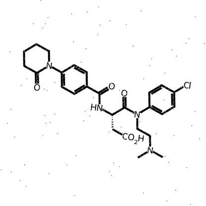 CN(C)CCN(C(=O)[C@H](CC(=O)O)NC(=O)c1ccc(N2CCCCC2=O)cc1)c1ccc(Cl)cc1